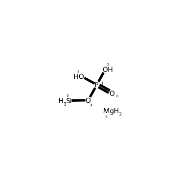 O=P(O)(O)O[SiH3].[MgH2]